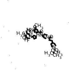 COc1cc(C(=O)NN2CCN(C(=O)CCC3CCN(C(=O)OC(C)(C)C)CC3)CC2)ccc1Nc1ncc2c(n1)N(C1CCCC1)CC(F)(F)C(=O)N2C